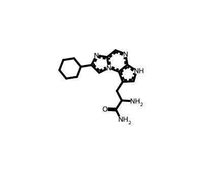 NC(=O)C(N)Cc1c[nH]c2ncc3nc(C4CCCCC4)cn3c12